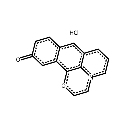 Cl.O=c1ccc2cc3cccn4ccoc(c2c1)c34